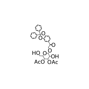 CC(=O)OC1C(CO)OC(OCC(=O)c2ccc3c(c2)OC(c2ccccc2)(c2ccccc2)O3)C(O)C1OC(C)=O